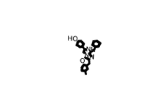 Cc1cccc(Cc2nc3c(Cc4ccccc4)[nH]c(-c4ccc(O)cc4)cn-3c2=O)c1